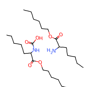 CCCCCCOC(=O)C(CCCCC)NC(=O)O.CCCCCCOC(=O)C(N)CCCCC